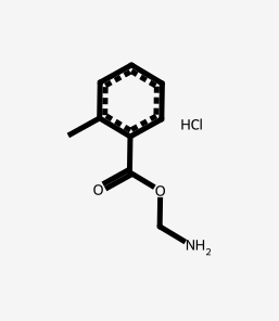 Cc1ccccc1C(=O)OCN.Cl